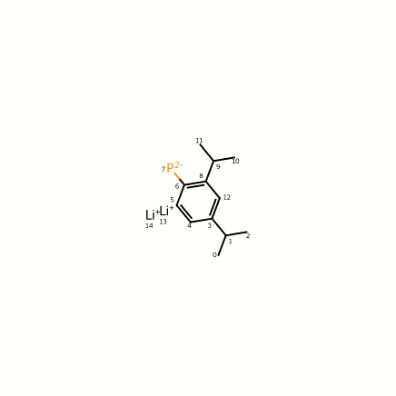 CC(C)c1ccc([P-2])c(C(C)C)c1.[Li+].[Li+]